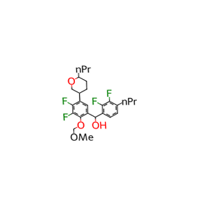 CCCc1ccc(C(O)c2cc(C3CCC(CCC)OC3)c(F)c(F)c2OCOC)c(F)c1F